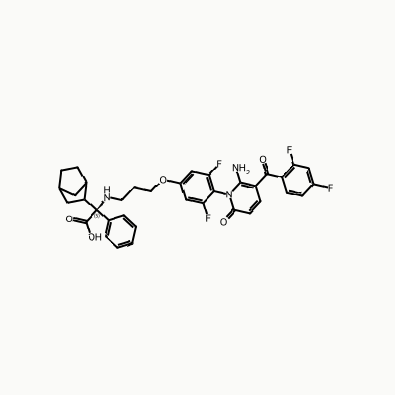 Nc1c(C(=O)c2ccc(F)cc2F)ccc(=O)n1-c1c(F)cc(OCCCN[C@](C(=O)O)(c2ccccc2)C2CC3CCC2C3)cc1F